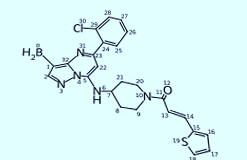 Bc1cnn2c(NC3CCN(C(=O)/C=C/c4cccs4)CC3)cc(-c3ccccc3Cl)nc12